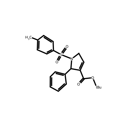 Cc1ccc(S(=O)(=O)N2CC=C(C(=O)OC(C)(C)C)C2c2ccccc2)cc1